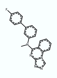 CN(c1cccc(-c2ccc(F)cc2)c1)c1nc2nncn2c2ccccc12